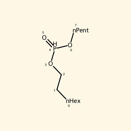 CCCCCCCCO[PH](=O)OCCCCC